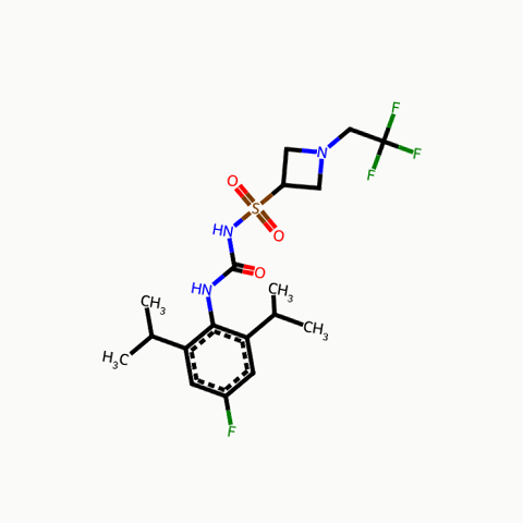 CC(C)c1cc(F)cc(C(C)C)c1NC(=O)NS(=O)(=O)C1CN(CC(F)(F)F)C1